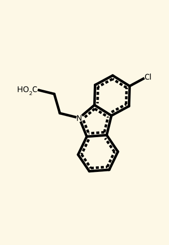 O=C(O)CCn1c2ccccc2c2cc(Cl)ccc21